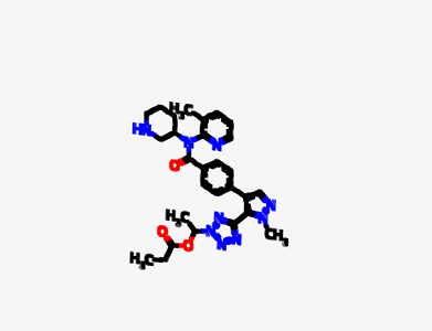 CCC(=O)OC(C)n1nnc(-c2c(-c3ccc(C(=O)N(c4ncccc4C)[C@@H]4CCCNC4)cc3)cnn2C)n1